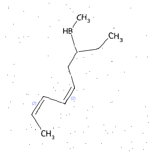 CBC(CC)C/C=C\C=C/C